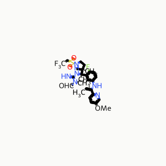 CC=C(Nc1ccc(F)c([C@@](C)(NC(=N)N(C)C=O)[C@]2(C)CCN(S(=O)(=O)CC(F)(F)F)C2)c1)c1ccc(OC)cn1